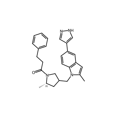 Cc1cc2cc(-c3cn[nH]c3)ccc2n1CC1C[C@H](C)N(C(=O)CCc2ccccc2)C1